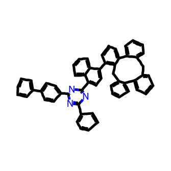 c1ccc(-c2ccc(-c3nc(-c4ccccc4)nc(-c4ccc(-c5cccc6c5Cc5ccccc5-c5ccccc5Cc5ccccc5-6)c5ccccc45)n3)cc2)cc1